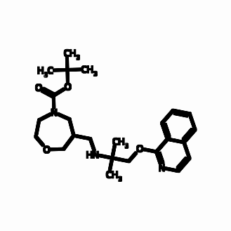 CC(C)(COc1nccc2ccccc12)NCC1COCCN(C(=O)OC(C)(C)C)C1